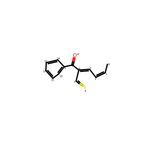 C/C=C\C=C(/C=S)C(=O)c1ccccc1